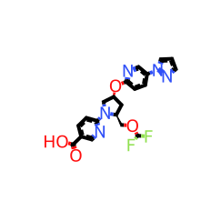 O=C(O)c1ccc(N2C[C@@H](Oc3ccc(-n4cccn4)cn3)C[C@H]2COC(F)F)nc1